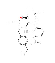 CCCCCC(C)N(Cc1ccc(CC(C)C)cc1)C(NC1C=CC=CC1(C)N(C)C)=C1C(=O)OC(C)(C)OC1=O